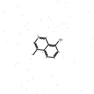 Cc1cncc2c(S)cccc12